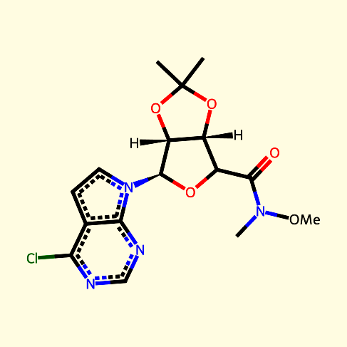 CON(C)C(=O)C1O[C@@H](n2ccc3c(Cl)ncnc32)[C@@H]2OC(C)(C)O[C@H]12